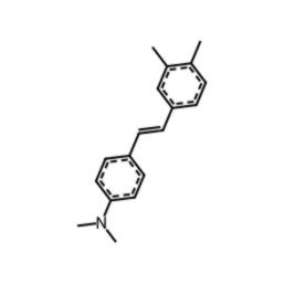 Cc1ccc(C=Cc2ccc(N(C)C)cc2)cc1C